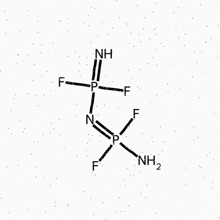 N=P(F)(F)N=P(N)(F)F